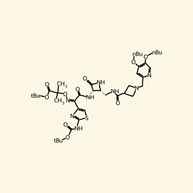 CCCCOc1cnc(CN2CC(C(=O)NC[C@H]3NC(=O)[C@H]3NC(=O)/C(=N\OC(C)(C)C(=O)OC(C)(C)C)c3csc(NC(=O)OC(C)(C)C)n3)C2)cc1OCCCC